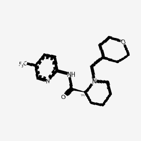 O=C(Nc1ccc(C(F)(F)F)cn1)[C@@H]1CCCCN1CC1CCOCC1